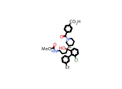 CCc1cccc(-c2c(Cl)cccc2C(O)(CCCNC(=O)OC)[C@@H]2CCCN(C(=O)c3ccc(C(=O)O)cc3)C2)c1